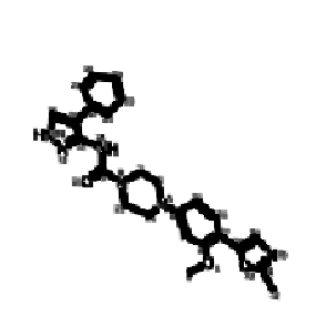 COc1cc(N2CCN(C(=O)Nc3n[nH]cc3-c3ccccc3)CC2)ccc1-c1cnc(C)o1